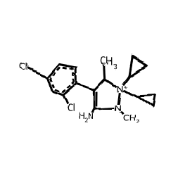 CC1C(c2ccc(Cl)cc2Cl)=C(N)N(C)[N+]1(C1CC1)C1CC1